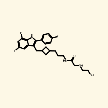 O=C(CNCCO)NCCCC1CC(Cc2c(-c3ccc(F)cc3)[nH]c3c(F)cc(F)cc23)C1